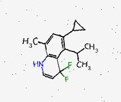 Cc1cc(C2CC2)c(C(C)C)c2c1NC=CC2(F)F